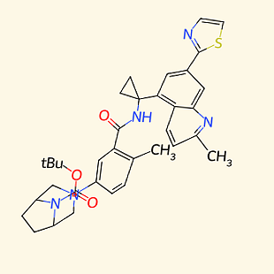 Cc1ccc2c(C3(NC(=O)c4cc(N5CC6CCC(C5)N6C(=O)OC(C)(C)C)ccc4C)CC3)cc(-c3nccs3)cc2n1